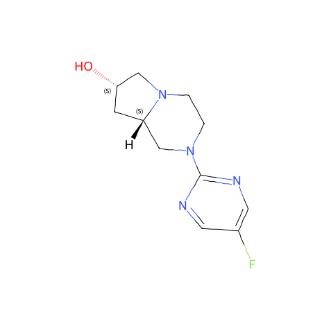 O[C@H]1C[C@H]2CN(c3ncc(F)cn3)CCN2C1